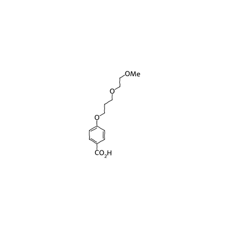 COCCOCCCOc1ccc(C(=O)O)cc1